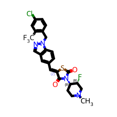 CN1CC[C@@H](N2C(=O)S/C(=C\c3ccc4c(cnn4Cc4ccc(Cl)cc4C(F)(F)F)c3)C2=O)[C@H](F)C1